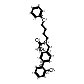 CCCCC(=O)N(CCCCOc1ccccc1)Cc1ccc(-c2ccccc2C#N)cc1